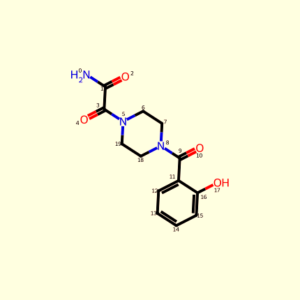 NC(=O)C(=O)N1CCN(C(=O)c2ccccc2O)CC1